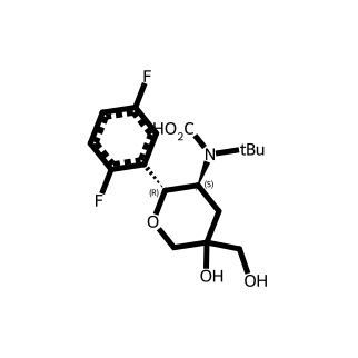 CC(C)(C)N(C(=O)O)[C@H]1CC(O)(CO)CO[C@@H]1c1cc(F)ccc1F